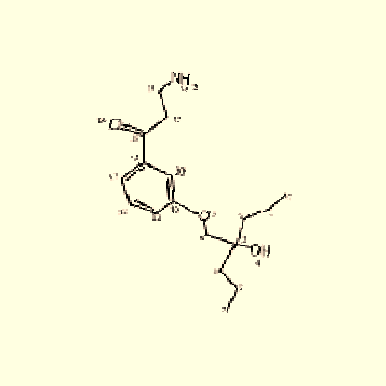 CCCC(O)(CCC)COc1cccc(C(=O)CCN)c1